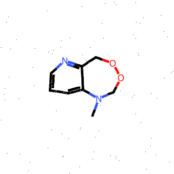 CN1COOCc2ncccc21